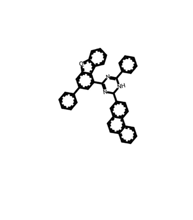 c1ccc(C2=NC(c3cc(-c4ccccc4)cc4oc5ccccc5c34)=NC(c3ccc4c(ccc5ccccc54)c3)N2)cc1